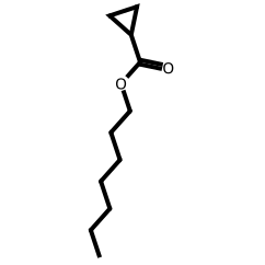 CCCCCCCOC(=O)C1CC1